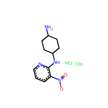 Cl.Cl.NC1CCC(Nc2ncccc2[N+](=O)[O-])CC1